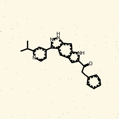 CC(C)c1cc(-c2n[nH]c3cc4[nH]c(C(=O)Cc5ccccc5)cc4cc23)ccn1